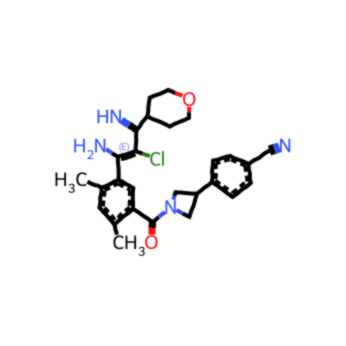 Cc1cc(C)c(/C(N)=C(\Cl)C(=N)C2CCOCC2)cc1C(=O)N1CC(c2ccc(C#N)cc2)C1